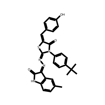 Cc1ccc2c(c1)C(=NN=C1SC(=Cc3ccc(O)cc3)C(=O)N1c1ccc(C(C)(C)C)cc1)C(=O)N2